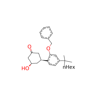 CCCCCCC(C)(C)c1ccc([C@@H]2CC(=O)C[C@H](O)C2)c(OCc2ccccc2)c1